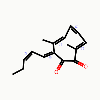 CC\C=C/C=C1C(=O)C(=O)\C(C)=C\C=C/C=C/1C